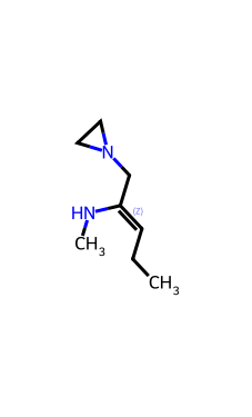 CC/C=C(/CN1CC1)NC